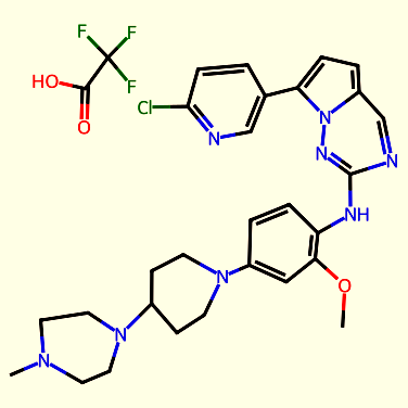 COc1cc(N2CCC(N3CCN(C)CC3)CC2)ccc1Nc1ncc2ccc(-c3ccc(Cl)nc3)n2n1.O=C(O)C(F)(F)F